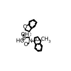 C[C@]12CC[C@](N(C=O)[C@@H](C[C@@H]3COc4ccccc43)B(O)O)(O1)c1ccccc12